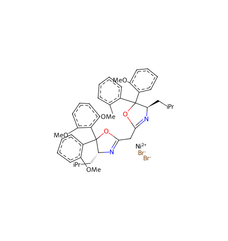 COc1ccccc1C1(c2ccccc2OC)OC(CC2=N[C@H](CC(C)C)C(c3ccccc3OC)(c3ccccc3OC)O2)=N[C@@H]1CC(C)C.[Br-].[Br-].[Ni+2]